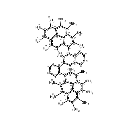 Bc1c(B)c2c(B)c(B)c3c(B)c(B)c(-c4ccccc4-c4cc(-c5c(B)c(B)c6c(B)c(B)c7c(B)c(B)c(B)c8c(B)c(B)c5c6c78)c5ccccc5c4)c4c(B)c(B)c(c1B)c2c34